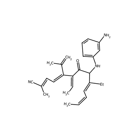 C=C(C)C(=C\C=C(/C)C#N)/C(=C\C)C(=O)C(Nc1cccc(N)c1)/C(=C/C=C\C)CC